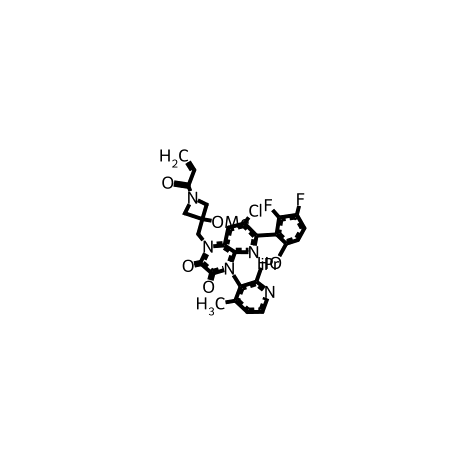 C=CC(=O)N1CC(Cn2c(=O)c(=O)n(-c3c(C)ccnc3C(C)C)c3nc(-c4c(O)ccc(F)c4F)c(Cl)cc32)(OC)C1